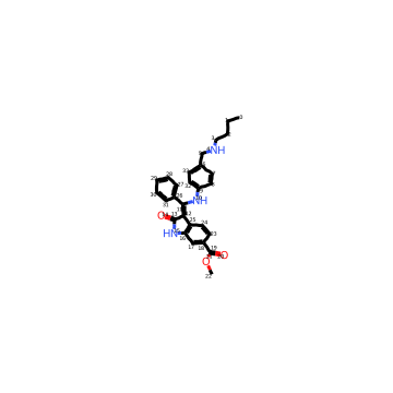 CCCCNCc1ccc(NC(=C2C(=O)Nc3cc(C(=O)OC)ccc32)c2ccccc2)cc1